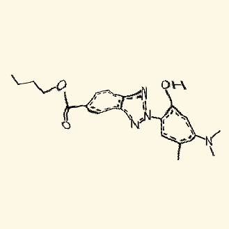 CCCCOC(=O)c1ccc2nn(-c3cc(C)c(N(C)C)cc3O)nc2c1